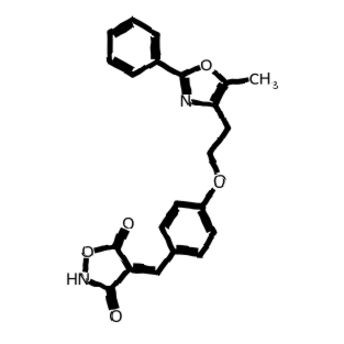 Cc1oc(-c2ccccc2)nc1CCOc1ccc(C=C2C(=O)NOC2=O)cc1